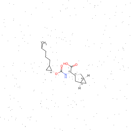 C=CCCCC1C[C@H]1OC(=O)N[C@H](C(=O)O)[C@@H]1C[C@H]2C[C@H]2C1